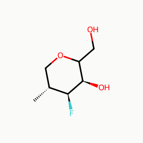 C[C@@H]1COC(CO)[C@@H](O)[C@H]1F